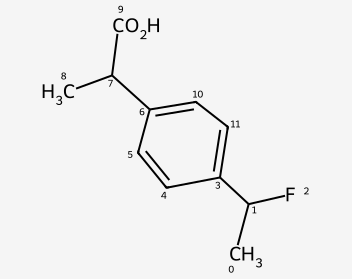 CC(F)c1ccc(C(C)C(=O)O)cc1